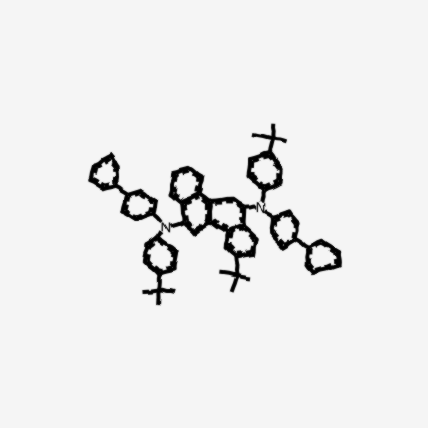 CC(C)(C)c1ccc(N(c2ccc(-c3ccccc3)cc2)c2cc3c4cc(C(C)(C)C)ccc4c(N(c4ccc(-c5ccccc5)cc4)c4ccc(C(C)(C)C)cc4)cc3c3ccccc23)cc1